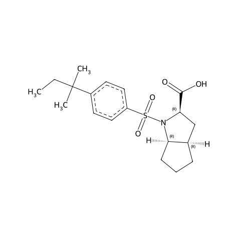 CCC(C)(C)c1ccc(S(=O)(=O)N2[C@@H](C(=O)O)C[C@H]3CCC[C@H]32)cc1